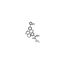 CCNC(=N)c1ccc2c(c1)Oc1cc(-c3ccc[nH]3)ccc1C21C2=CC=CCC2OC2=C1C=CCC2